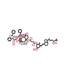 C=C1/C(=C\C=C2/CCC[C@@]3(C)C2CCC3[C@@H](C)/C=C/C(O)C2CC2)C[C@@H](O)C[C@@H]1OC(=O)CCC(=O)OC1CC2OCC2(OC(C)=O)C2C(OC(=O)c3ccccc3)C3(O)CC(OC(=O)C(O)C(NC(=O)c4ccccc4)c4ccccc4)C(C)=C(C(OC(C)=O)C(=O)C12C)C3(C)C